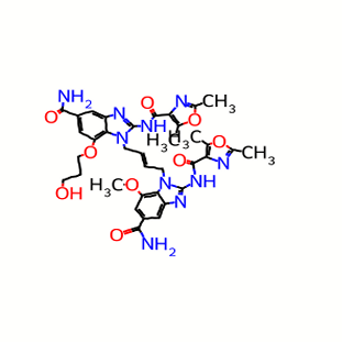 COc1cc(C(N)=O)cc2nc(NC(=O)c3nc(C)oc3C)n(C/C=C/Cn3c(NC(=O)c4nc(C)oc4C)nc4cc(C(N)=O)cc(OCCCO)c43)c12